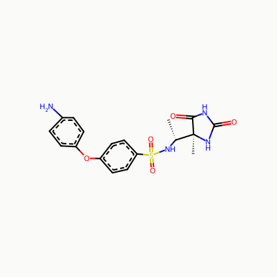 C[C@@H](NS(=O)(=O)c1ccc(Oc2ccc(N)cc2)cc1)[C@]1(C)NC(=O)NC1=O